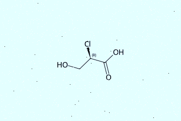 O=C(O)[C@H](Cl)CO